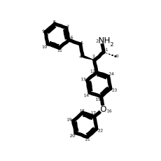 C[C@@H](N)[C@H](CCc1ccccc1)c1ccc(Oc2ccccc2)cc1